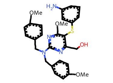 COc1ccc(CN(Cc2ccc(OC)cc2)c2nc(CO)c(Sc3cccc(N)c3)c(OC)n2)cc1